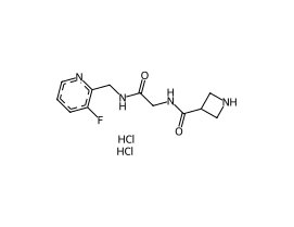 Cl.Cl.O=C(CNC(=O)C1CNC1)NCc1ncccc1F